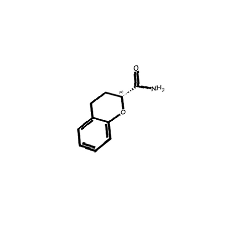 NC(=O)[C@H]1CCc2ccccc2O1